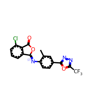 Cc1cc(-c2nnc(C(F)(F)F)o2)ccc1/N=C1\OC(=O)c2c(Cl)cccc21